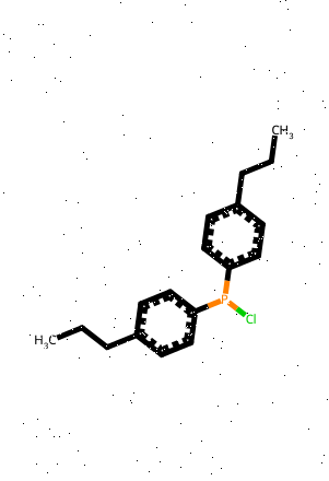 CCCc1ccc(P(Cl)c2ccc(CCC)cc2)cc1